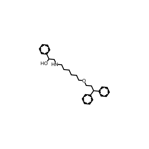 OC(CNCCCCCCOCCC(c1ccccc1)c1ccccc1)c1ccccc1